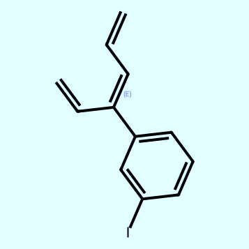 C=C/C=C(\C=C)c1cccc(I)c1